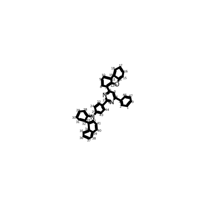 c1ccc(-c2cc(-c3cccc4c3oc3ccccc34)nc(-c3ccc(-n4c5ccccc5c5c6ccccc6ccc54)cc3)n2)cc1